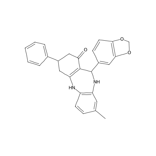 Cc1ccc2c(c1)NC(c1ccc3c(c1)OCO3)C1=C(CC(c3ccccc3)CC1=O)N2